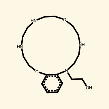 OCCN1CCNCCOCCNCCNCCOc2ccccc21